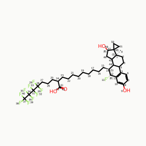 C[C@]12CCC3c4ccc(O)cc4[C@H](F)[C@@H](CCCCCCCCCC(CCCC(F)(F)C(F)(F)C(F)(F)C(F)(F)F)C(=O)O)C3C1C[C@@H](O)C21CC1